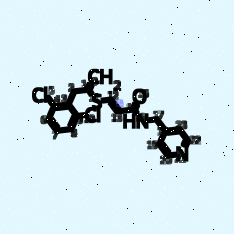 C=C(Cc1c(Cl)cccc1Cl)S/C=C/C(=O)NCc1ccncc1